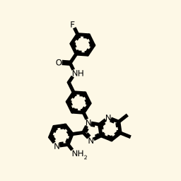 Cc1cc2nc(-c3cccnc3N)n(-c3ccc(CNC(=O)c4cccc(F)c4)cc3)c2nc1C